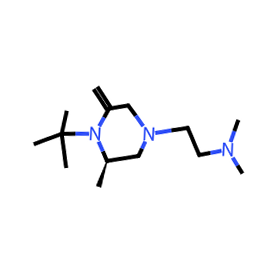 C=C1CN(CCN(C)C)C[C@@H](C)N1C(C)(C)C